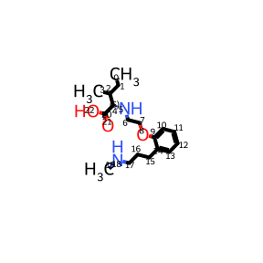 CCC(C)[C@H](NCCOc1ccccc1CCCNC)C(=O)O